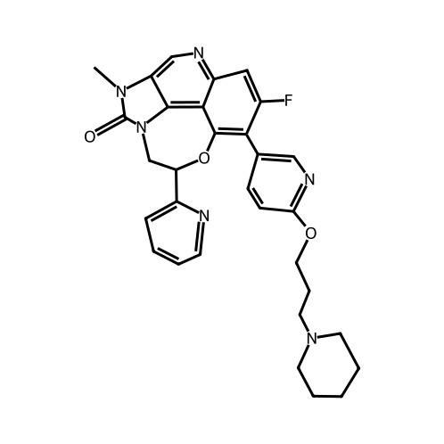 Cn1c(=O)n2c3c4c(c(-c5ccc(OCCCN6CCCCC6)nc5)c(F)cc4ncc31)OC(c1ccccn1)C2